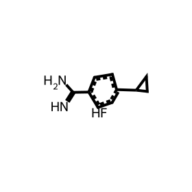 F.N=C(N)c1ccc(C2CC2)cc1